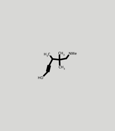 CNCC(C)(C)C(C)C#CO